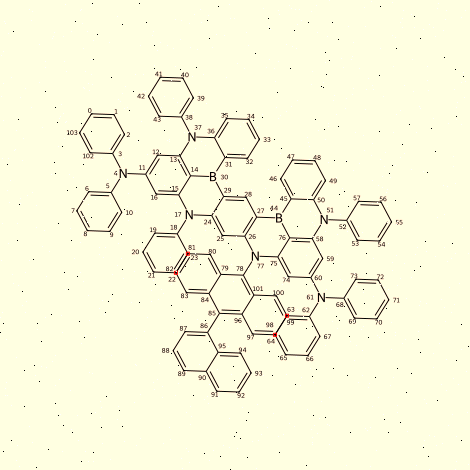 c1ccc(N(c2ccccc2)c2cc3c4c(c2)N(c2ccccc2)c2cc5c(cc2B4c2ccccc2N3c2ccccc2)B2c3ccccc3N(c3ccccc3)c3cc(N(c4ccccc4)c4ccccc4)cc(c32)N5c2c3ccccc3c(-c3cccc4ccccc34)c3ccccc23)cc1